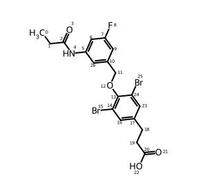 CCC(=O)Nc1cc(F)cc(COc2c(Br)cc(CCC(=O)O)cc2Br)c1